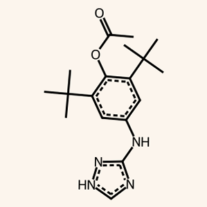 CC(=O)Oc1c(C(C)(C)C)cc(Nc2nc[nH]n2)cc1C(C)(C)C